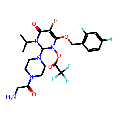 CC(C)N1C(=O)C(Br)=C(OCc2ccc(F)cc2F)N(OC(=O)C(F)(F)F)C1N1CCN(C(=O)CN)CC1